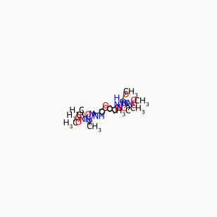 CC[C@H](C)C(NC(=O)OC)C(=O)N1C[C@@H](C)CC1c1ncc(-c2ccc3c(c2)COc2cc4c(ccc5nc([C@@H]6CC(COC)CN6C(O)[C@@H](NC(=O)OC)C(C)C)[nH]c54)cc2-3)[nH]1